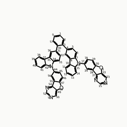 c1ccc(-c2ccc3c(c2)c2ccccc2n3-c2ccc3oc4cncnc4c3c2)c(-c2ccc3c(c2)c2ccccc2n3-c2ccc3oc4cncnc4c3c2)c1